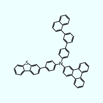 c1cc(-c2ccc(N(c3ccc(-c4ccc5c(c4)sc4ccccc45)cc3)c3ccc4c5ccccc5c5ccccc5c4c3)cc2)cc(-c2cccc3ccccc23)c1